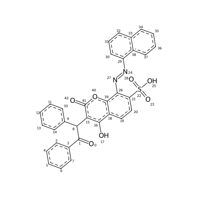 O=C(c1ccccc1)C(c1ccccc1)c1c(O)c2ccc(S(=O)(=O)O)c(/N=N/c3cccc4ccccc34)c2oc1=O